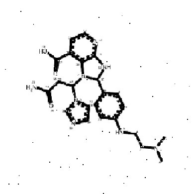 CN(C)CCNc1ccc(C2Nc3nccc(C(=O)O)c3N2C(CC(N)=O)n2ccnc2)cc1